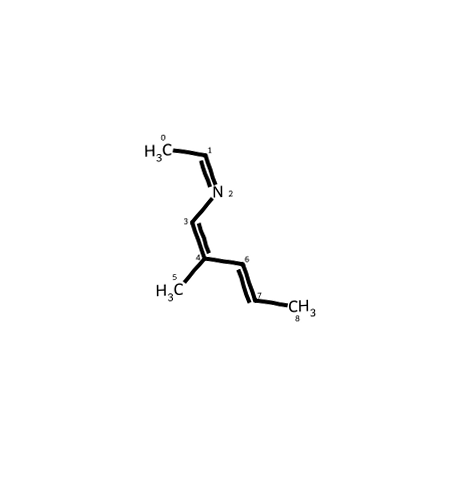 C\C=N/C=C(C)\C=C\C